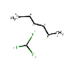 F[C](F)F.[CH2]CCCC[CH2]